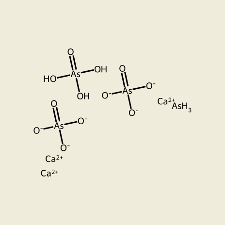 O=[As](O)(O)O.O=[As]([O-])([O-])[O-].O=[As]([O-])([O-])[O-].[AsH3].[Ca+2].[Ca+2].[Ca+2]